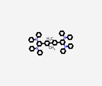 Cc1cc(-c2cc(N(c3ccccc3)c3ccccc3)cc(N(c3ccccc3)c3ccccc3)c2)ccc1-c1ccc(-c2cc(N(c3ccccc3)c3ccccc3)cc(N(c3ccccc3)c3ccccc3)c2)cc1C